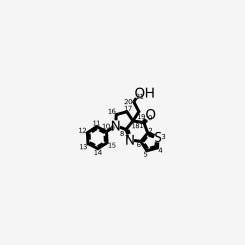 O=C1c2sccc2N=C2N(c3ccccc3)CCC12CCO